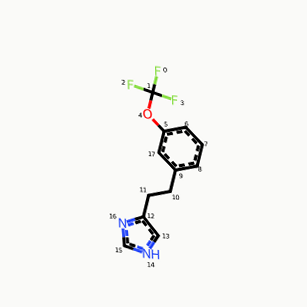 FC(F)(F)Oc1cccc(CCc2c[nH]cn2)c1